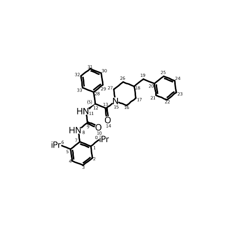 CC(C)c1cccc(C(C)C)c1NC(=O)N[C@H](C(=O)N1CCC(Cc2ccccc2)CC1)c1ccccc1